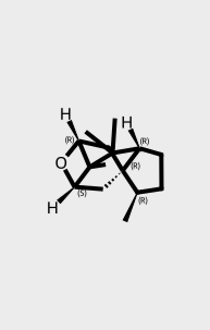 C[C@@H]1CC[C@H]2C(C)(C)C3(C)[C@@H]4C[C@@]12C[C@H]3O4